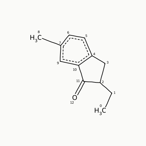 CCC1Cc2ccc(C)cc2C1=O